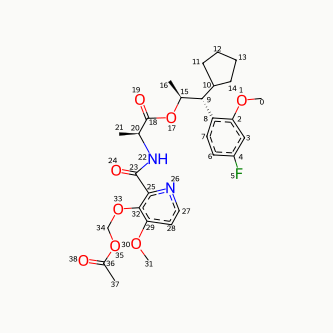 COc1cc(F)ccc1[C@@H](C1CCCC1)[C@H](C)OC(=O)[C@H](C)NC(=O)c1nccc(OC)c1OCOC(C)=O